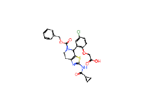 O=C(O)COc1ccc(Cl)cc1C1c2sc(NC(=O)C3CC3)nc2CCN1C(=O)OCc1ccccc1